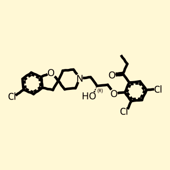 CCC(=O)c1cc(Cl)cc(Cl)c1OC[C@H](O)CN1CCC2(CC1)Cc1cc(Cl)ccc1O2